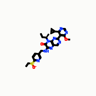 CC[C@@H](C)n1c(=O)c(NCc2ccc([S+]([O-])CC)nc2)nc2cnc(-c3c(OC)ncnc3C3CC3)nc21